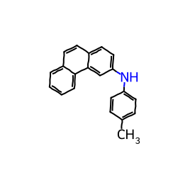 Cc1ccc(Nc2ccc3ccc4ccccc4c3c2)cc1